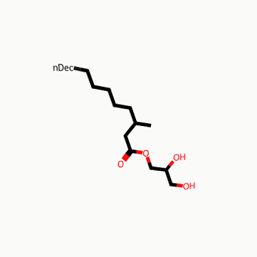 CCCCCCCCCCCCCCCC(C)CC(=O)OCC(O)CO